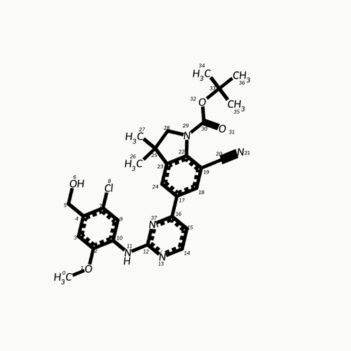 COc1cc(CO)c(Cl)cc1Nc1nccc(-c2cc(C#N)c3c(c2)C(C)(C)CN3C(=O)OC(C)(C)C)n1